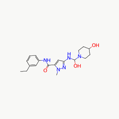 CCc1cccc(NC(=O)c2cc(NC(O)N3CCC(O)CC3)nn2C)c1